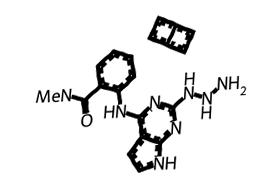 CNC(=O)c1ccccc1Nc1nc(NNN)nc2[nH]ccc12.c1cc2ccc1-2